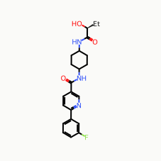 CC[C@H](O)C(=O)NC1CCC(NC(=O)c2ccc(-c3cccc(F)c3)nc2)CC1